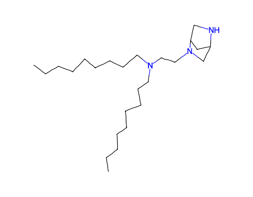 CCCCCCCCCN(CCCCCCCCC)CCN1CC2CC1CN2